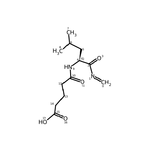 C=NC(=O)[C@H](CC(C)C)NC(=O)CCCC(=O)O